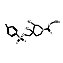 Cc1ccc(S(=O)(=O)OCC2(O)CCN(C(=O)OC(C)(C)C)CC2O)cc1